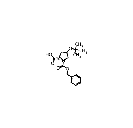 CC(C)(C)OC1C[C@@H](C(=O)O)N(C(=O)OCc2ccccc2)C1